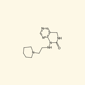 O=C1NCc2cncnc2N1NCCN1CCCCC1